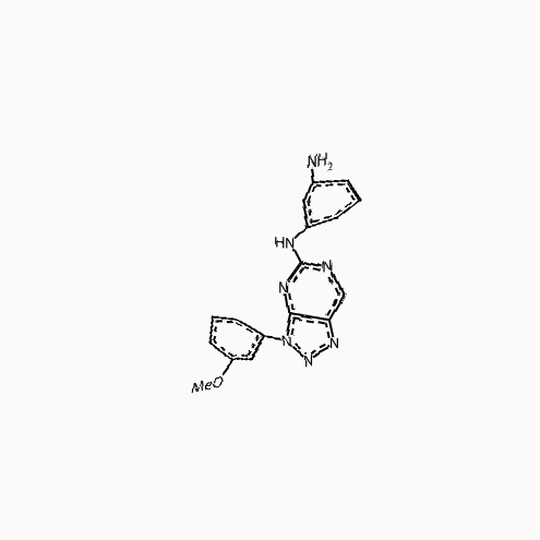 COc1cccc(-n2nnc3cnc(Nc4cccc(N)c4)nc32)c1